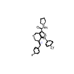 O=C(NN1CCCC1)c1nn(-c2ccc(Cl)cc2)c2c1CSC/C2=C\c1ccc(F)cc1